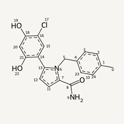 Cc1ccc(Cn2c(C(N)=O)ccc2-c2cc(Cl)c(O)cc2O)cc1